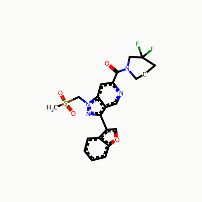 CS(=O)(=O)Cn1nc(-c2coc3ccccc23)c2cnc(C(=O)N3CCCC(F)(F)C3)cc21